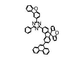 c1ccc(-c2nc(-c3ccc4c(c3)-c3cc(-c5cc6ccccc6c6ccccc56)ccc3C43c4ccccc4Oc4ccccc43)nc(-c3ccc4oc5ccccc5c4c3)n2)cc1